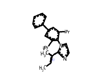 C/C=C(\C)c1nccn1-c1c(C(C)C)cc(-c2ccccc2)cc1C(C)C